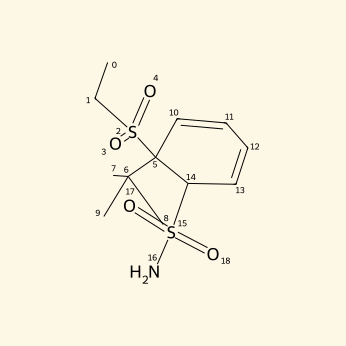 CCS(=O)(=O)C1(C(C)(C)C)C=CC=CC1S(N)(=O)=O